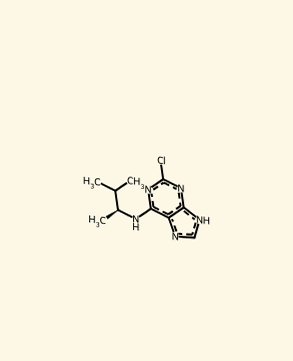 CC(C)[C@H](C)Nc1nc(Cl)nc2[nH]cnc12